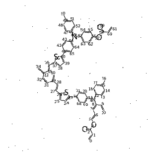 C=CC(=O)O/C=C/C=C(\C=C)N(c1ccc(C)cc1)c1ccc(-c2ccc(C=CC(=C)/C=C\C(=C)C=Cc3ccc(-c4ccc(N(c5ccc(C)cc5)c5ccc(OC(=O)C=C)cc5)cc4)s3)s2)cc1